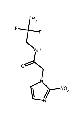 CC(F)(F)CNC(=O)Cn1ccnc1[N+](=O)[O-]